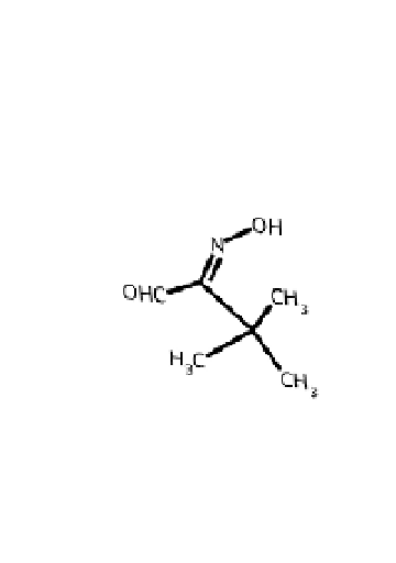 CC(C)(C)C(C=O)=NO